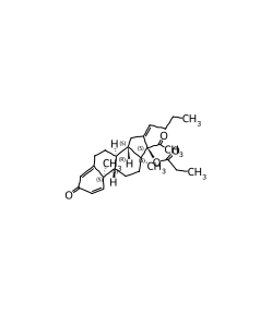 CCCC=C1C[C@H]2[C@@H]3CCC4=CC(=O)C=C[C@]4(C)[C@H]3CC[C@]2(C)[C@@]1(OC(=O)CC)C(C)=O